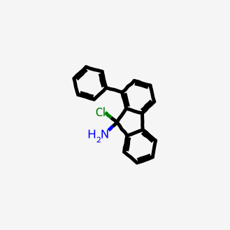 NC1(Cl)c2ccccc2-c2cccc(-c3ccccc3)c21